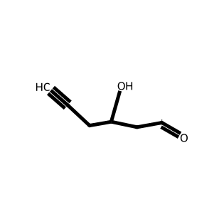 C#CCC(O)C[C]=O